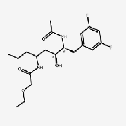 CCCC(C[C@H](O)[C@H](Cc1cc(F)cc(F)c1)NC(C)=O)NC(=O)COCC